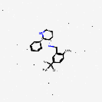 COc1ccc(C(C)(C)C(C)=O)cc1CN[C@H]1CCCN[C@H]1c1ccccc1